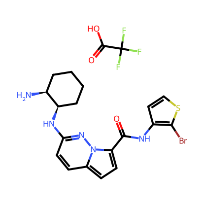 N[C@H]1CCCC[C@H]1Nc1ccc2ccc(C(=O)Nc3ccsc3Br)n2n1.O=C(O)C(F)(F)F